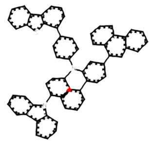 c1ccc(-c2ccc(-c3cc4ccccc4c4ccccc34)cc2N(c2ccc(-c3cccc4c3sc3ccccc34)cc2)c2ccc(-n3c4ccccc4c4ccccc43)cc2)cc1